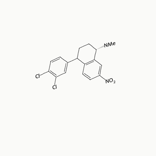 CN[C@H]1CCC(c2ccc(Cl)c(Cl)c2)c2ccc([N+](=O)[O-])cc21